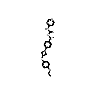 CCOc1ccc(OC2CN(c3ccc([C@H](C)NC(=O)Nc4ccncn4)cc3)C2)cc1